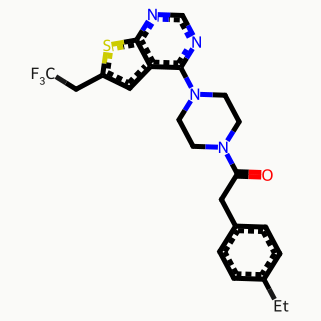 CCc1ccc(CC(=O)N2CCN(c3ncnc4sc(CC(F)(F)F)cc34)CC2)cc1